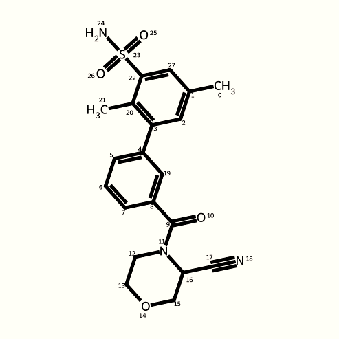 Cc1cc(-c2cccc(C(=O)N3CCOCC3C#N)c2)c(C)c(S(N)(=O)=O)c1